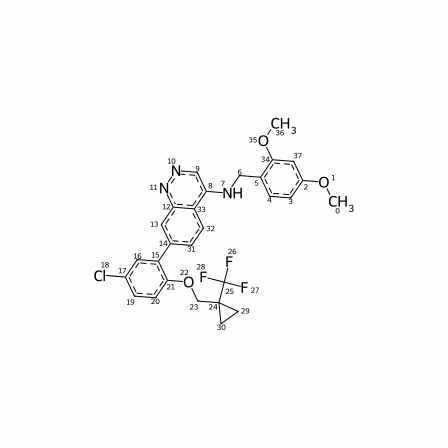 COc1ccc(CNc2cnnc3cc(-c4cc(Cl)ccc4OCC4(C(F)(F)F)CC4)ccc23)c(OC)c1